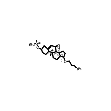 CC(C)(C)CCCOC1CC[C@H]2[C@@H]3C(=O)C=C4CC(O[Si](C)(C)C(C)(C)C)CC[C@]4(C)[C@@H]3CC[C@]12C